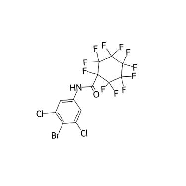 O=C(Nc1cc(Cl)c(Br)c(Cl)c1)C1(F)C(F)(F)C(F)(F)C(F)(F)C(F)(F)C1(F)F